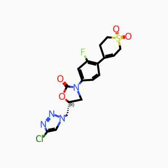 O=C1O[C@@H](Cn2cc(Cl)nn2)CN1c1ccc(C2=CCS(=O)(=O)CC2)c(F)c1